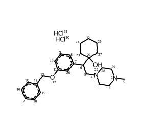 CN1CCN(CC(c2cccc(OCc3ccccc3)c2)C2(O)CCCCC2)CC1.Cl.Cl